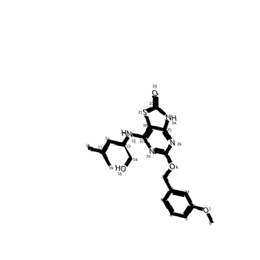 COc1cccc(COc2nc(N[C@@H](CO)CC(C)C)c3sc(=O)[nH]c3n2)c1